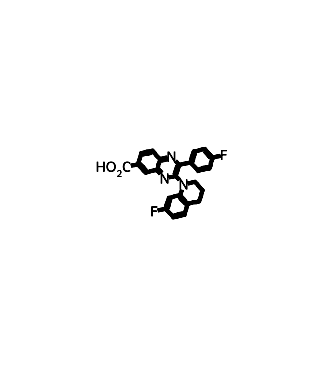 O=C(O)c1ccc2nc(-c3ccc(F)cc3)c(N3CCCc4ccc(F)cc43)nc2c1